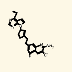 CCc1ncnc2c1ccn2C1C=C(CCc2cc(F)c3cc(Cl)c(N)nc3c2)CC1